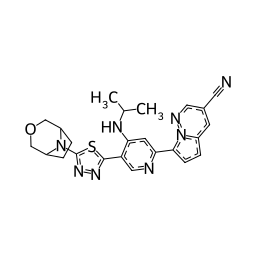 CC(C)Nc1cc(-c2ccc3cc(C#N)cnn23)ncc1-c1nnc(N2C3CCC2COC3)s1